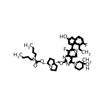 CCCCN(CCCC)C(=O)OC[C@@H]1CC[C@@]2(COc3nc(N4CCC[C@@](C)(O)C4)c4cnc(-c5cc(O)cc6ccc(F)c(CC)c56)c(F)c4n3)CCCN12